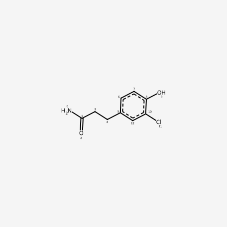 NC(=O)CCc1ccc(O)c(Cl)c1